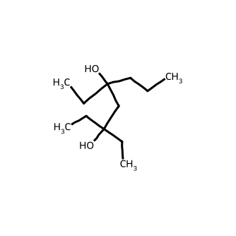 CCCC(O)(CC)CC(O)(CC)CC